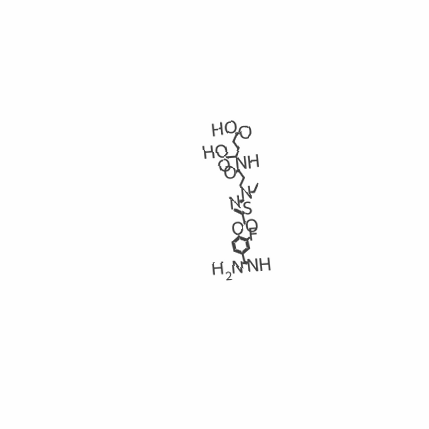 CCN(CCC(=O)NC(CCC(=O)O)C(=O)O)c1ncc(C(=O)Oc2ccc(C(=N)N)cc2F)s1